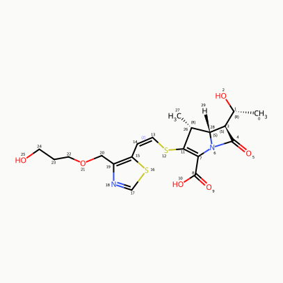 C[C@@H](O)[C@H]1C(=O)N2C(C(=O)O)=C(S/C=C\c3scnc3COCCCO)[C@H](C)[C@H]12